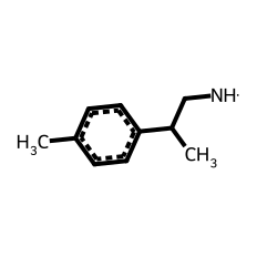 Cc1ccc(C(C)C[NH])cc1